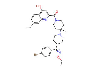 CCO/N=C(\c1ccc(Br)cc1)C1CCN(C2(C)CCN(C(=O)c3cc(O)c4ccc(CC)cc4n3)CC2)CC1